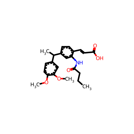 CCCC(=O)Nc1cc(C(C)c2ccc(OC)c(OC)c2)ccc1C=CC(=O)O